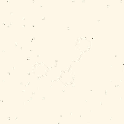 OC(c1ccccc1)c1c(Cl)ncnc1OCc1ccccc1